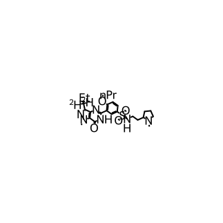 [2H]C([2H])(CC)c1nn(C)c2c(=O)[nH]c(-c3cc(S(=O)(=O)NCCC4CCCN4C)ccc3OCCC)nc12